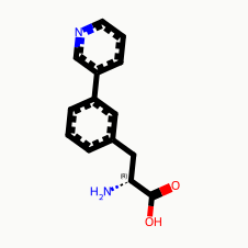 N[C@H](Cc1cccc(-c2cccnc2)c1)C(=O)O